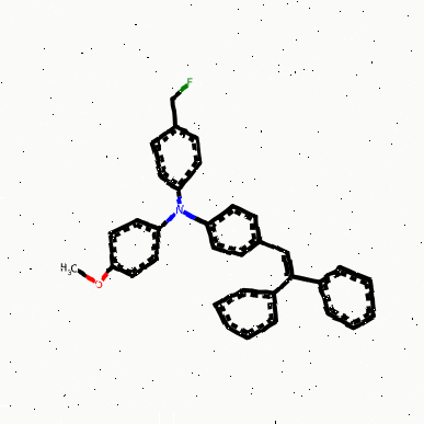 COc1ccc(N(c2ccc(C=C(c3ccccc3)c3ccccc3)cc2)c2ccc(CF)cc2)cc1